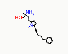 Cn1c(C#CCCCc2ccccc2)ccc1CCC(C)(N)CO